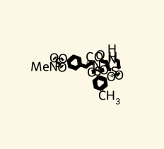 CNS(=O)(=O)Oc1ccc(C[C@@H](C(=O)O)N(C(=O)C2CS(=O)(=O)CCN2)S(=O)(=O)c2ccc(C)cc2)cc1